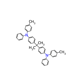 Cc1ccc(N(c2ccccc2)c2ccc(C(C)(C)c3ccc(N(c4ccccc4)c4ccc(C)cc4)cc3)cc2)cc1